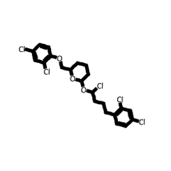 Clc1ccc(CCCC(Cl)OC2CCCC(COc3ccc(Cl)cc3Cl)O2)c(Cl)c1